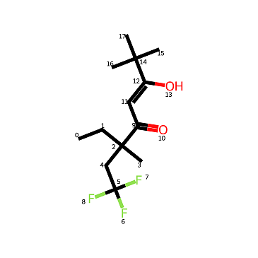 CCC(C)(CC(F)(F)F)C(=O)/C=C(\O)C(C)(C)C